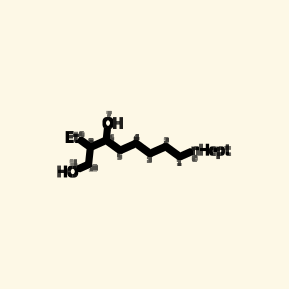 CCCCCCCCCCCCC(O)C(CC)CO